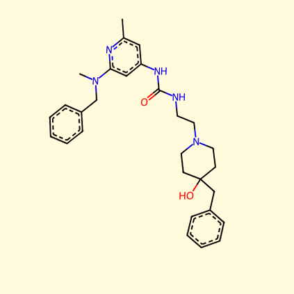 Cc1cc(NC(=O)NCCN2CCC(O)(Cc3ccccc3)CC2)cc(N(C)Cc2ccccc2)n1